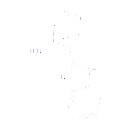 NC1C2C=CC(C2)C1c1nc2ccccc2[nH]1